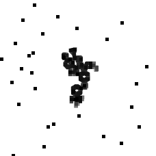 COc1ccc(Oc2cccc(C(F)(F)F)c2)cc1NC(=O)C1CCC(=O)N1C(=O)C1CC1